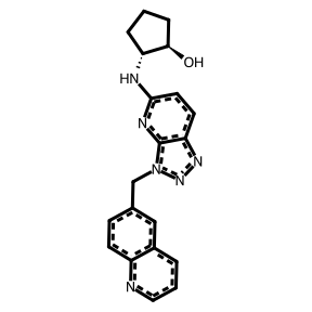 O[C@@H]1CCC[C@H]1Nc1ccc2nnn(Cc3ccc4ncccc4c3)c2n1